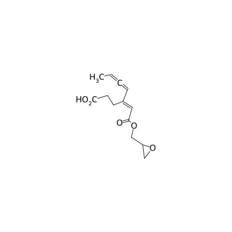 CC=C=CC(=CC(=O)OCC1CO1)CCC(=O)O